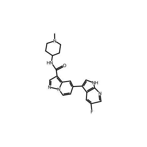 CN1CCC(NC(=O)c2cnn3ccc(-c4c[nH]c5ncc(F)cc45)cc23)CC1